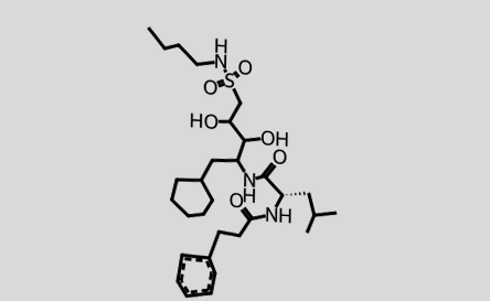 CCCCNS(=O)(=O)CC(O)C(O)C(CC1CCCCC1)NC(=O)[C@H](CC(C)C)NC(=O)CCc1ccccc1